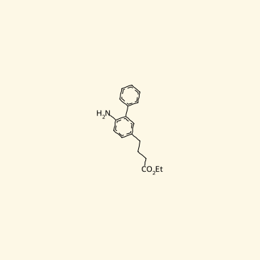 CCOC(=O)CCCc1ccc(N)c(-c2ccccc2)c1